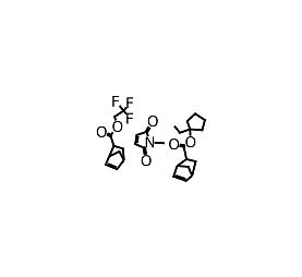 CCC1(OC(=O)C2CC3C=CC2C3)CCCC1.CN1C(=O)C=CC1=O.O=C(OCC(F)(F)F)C1CC2C=CC1C2